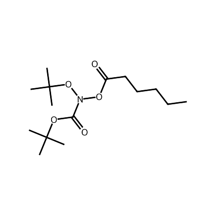 CCCCCC(=O)ON(OC(C)(C)C)C(=O)OC(C)(C)C